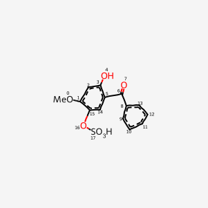 COc1cc(O)c(C(=O)c2ccccc2)cc1OS(=O)(=O)O